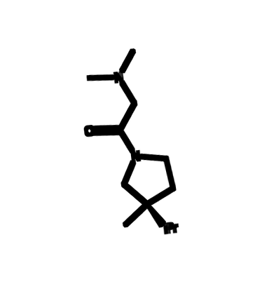 CC(C)[C@]1(C)CCN(C(=O)CN(C)C)C1